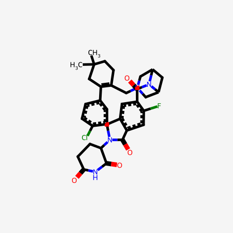 CC1(C)CCC(CN2CC3CC(C2)N3C(=O)c2cc3c(cc2F)C(=O)N(C2CCC(=O)NC2=O)C3)=C(c2ccc(Cl)cc2)C1